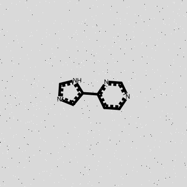 c1cc(-c2cnc[nH]2)ncn1